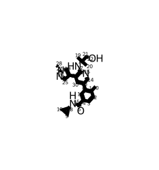 Cc1ccc(C(=O)NC2CC2)cc1-c1cnc(NC(C)(C)CO)c(-c2cnn(C)c2)c1